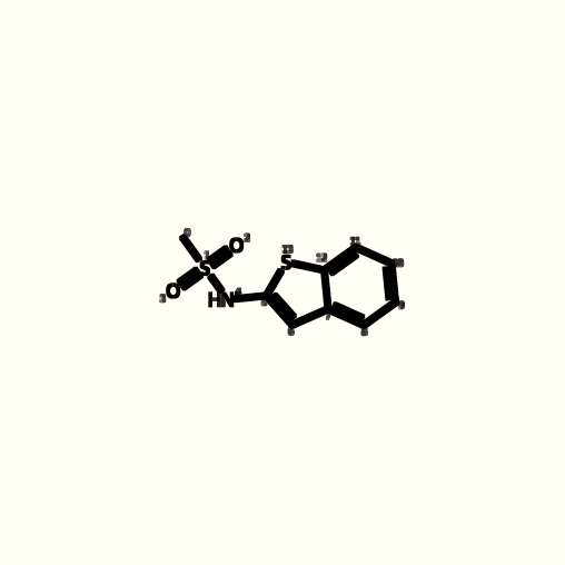 CS(=O)(=O)Nc1cc2ccccc2s1